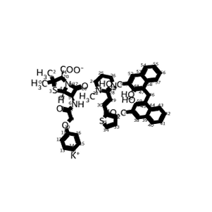 CC1(C)S[C@@H]2[C@H](NC(=O)COc3ccccc3)C(=O)N2[C@H]1C(=O)[O-].CN1CCCN=C1/C=C/c1cccs1.O=C(O)c1cc2ccccc2c(Cc2c(O)c(C(=O)O)cc3ccccc23)c1O.[K+]